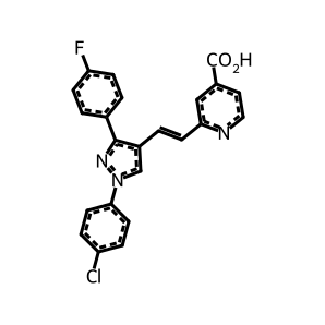 O=C(O)c1ccnc(C=Cc2cn(-c3ccc(Cl)cc3)nc2-c2ccc(F)cc2)c1